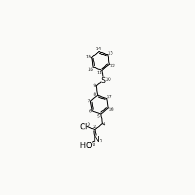 ON=C(Cl)Cc1ccc(CSc2ccccc2)cc1